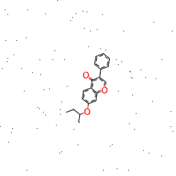 CCC(C)Oc1ccc2c(=O)c(-c3ccccc3)coc2c1